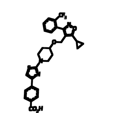 O=C(O)c1ccc(-c2csc(N3CCC(OCc4c(-c5ccccc5C(F)(F)F)noc4C4CC4)CC3)n2)cc1